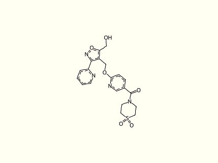 O=C(c1ccc(OCc2c(-c3ccccn3)noc2CO)nc1)N1CCS(=O)(=O)CC1